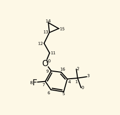 CC(C)(C)c1ccc(F)c(OCCC2CC2)c1